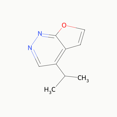 CC(C)c1cnnc2occc12